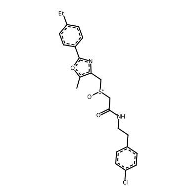 CCc1ccc(-c2nc(C[S+]([O-])CC(=O)NCCc3ccc(Cl)cc3)c(C)o2)cc1